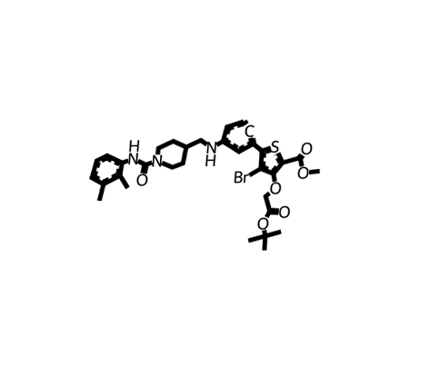 COC(=O)c1sc(-c2cccc(NCC3CCN(C(=O)Nc4cccc(C)c4C)CC3)c2)c(Br)c1OCC(=O)OC(C)(C)C